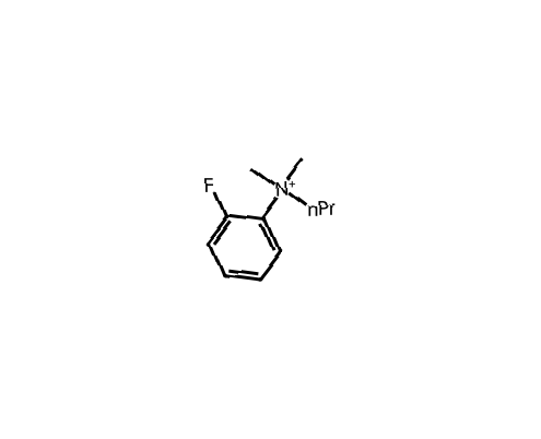 CCC[N+](C)(C)c1ccccc1F